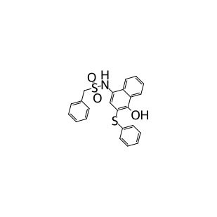 O=S(=O)(Cc1ccccc1)Nc1cc(Sc2ccccc2)c(O)c2ccccc12